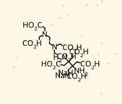 NC(CC(=O)O)(CC(=O)O)C(N)(CC(=O)O)CC(=O)O.O=C(O)CN(CCN(CC(=O)O)CC(=O)O)CC(=O)O.[NaH].[NaH]